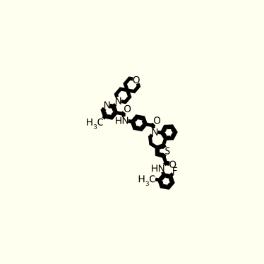 Cc1cnc(N2CCC3(CCOCC3)CC2)c(C(=O)Nc2ccc(C(=O)N3CCc4cc(C(=O)Nc5c(C)cccc5F)sc4-c4ccccc43)cc2)c1